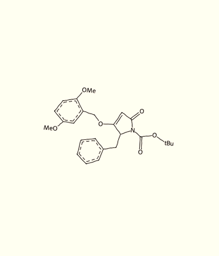 COc1ccc(OC)c(COC2=CC(=O)N(C(=O)OC(C)(C)C)C2Cc2ccccc2)c1